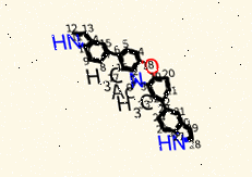 CC(=O)N1c2c(ccc(-c3ccc4[nH]ccc4c3)c2C)Oc2ccc(-c3ccc4[nH]ccc4c3)c(C)c21